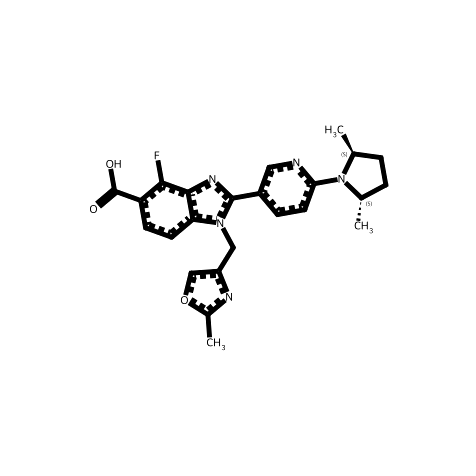 Cc1nc(Cn2c(-c3ccc(N4[C@@H](C)CC[C@@H]4C)nc3)nc3c(F)c(C(=O)O)ccc32)co1